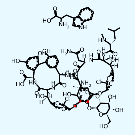 CN[C@H](CC(C)C)C(=O)N[C@H]1C(=O)N[C@@H](CC(N)=O)C(=O)N[C@H]2C(=O)N[C@H]3C(=O)N[C@H](C(=O)N[C@@H](C(=O)O)c4cc(O)cc(O)c4-c4cc3ccc4O)[C@H](O)c3ccc(c(Cl)c3)Oc3cc2cc(c3O[C@@H]2O[C@H](CO)[C@@H](O)[C@H](O)[C@H]2O[C@H]2C[C@](C)(N)C(O)[C@H](C)O2)Oc2ccc(cc2Cl)[C@H]1O.NC(Cc1c[nH]c2ccccc12)C(=O)O